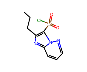 CCCc1nc2cccnn2c1S(=O)(=O)Cl